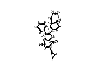 O=c1c(C2CC2)c[nH]c2nc(-c3ccccc3)c(-c3ccc4ncccc4c3)nc12